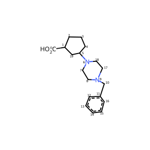 O=C(O)C1CCCC(N2CCN(Cc3ccccc3)CC2)C1